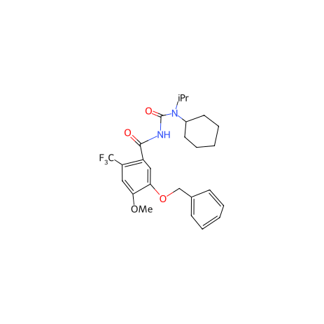 COc1cc(C(F)(F)F)c(C(=O)NC(=O)N(C(C)C)C2CCCCC2)cc1OCc1ccccc1